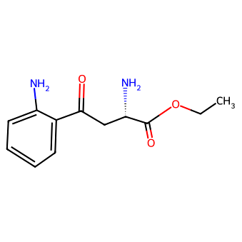 CCOC(=O)[C@@H](N)CC(=O)c1ccccc1N